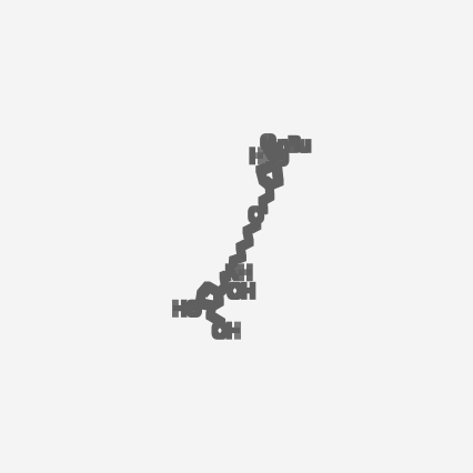 CCCCS(=O)(=O)Nc1ccc(CCCOCCCCCCNCC(O)c2ccc(O)c(CCO)c2)cc1